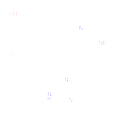 OCCOc1ccc(Nc2nccc(-c3c[nH]c4ncccc34)n2)cc1